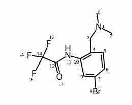 CN(C)Cc1ccc(Br)cc1NC(=O)C(F)(F)F